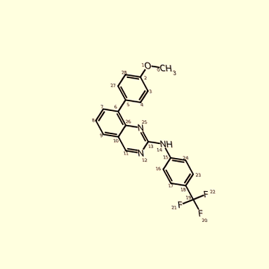 COc1ccc(-c2cccc3cnc(Nc4ccc(C(F)(F)F)cc4)nc23)cc1